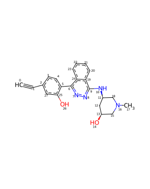 C#Cc1ccc(-c2nnc(N[C@@H]3C[C@H](O)CN(C)C3)c3ccccc23)c(O)c1